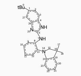 CC(C)(C)c1ccc2[nH]c(Nc3ccccc3N3CC(C)(C)c4ccccc43)nc2c1